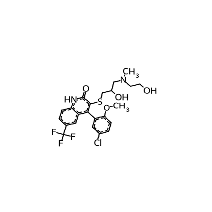 COc1ccc(Cl)cc1-c1c(SCC(O)CN(C)CCO)c(=O)[nH]c2ccc(C(F)(F)F)cc12